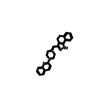 c1ccc2c(c1)CCc1c(CN3CCN(c4ccc5ccccc5n4)CC3)n[nH]c1-2